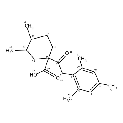 Cc1cc(C)c(CC(=O)C2(C(=O)O)CCC(C)C(C)C2)c(C)c1